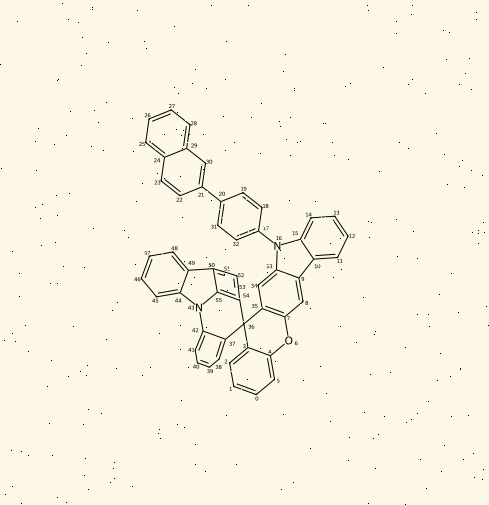 c1ccc2c(c1)Oc1cc3c4ccccc4n(-c4ccc(-c5ccc6ccccc6c5)cc4)c3cc1C21c2ccccc2-n2c3ccccc3c3cccc1c32